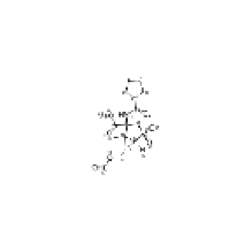 COC(=O)[C@]1(NC(=O)C2CCCC2)CS(=O)(=O)[C@H]2[C@H](COC=O)[C@H]21